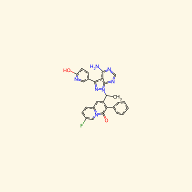 CC(c1cc2ccc(F)cn2c(=O)c1-c1ccccc1)n1nc(-c2ccc(O)nc2)c2c(N)ncnc21